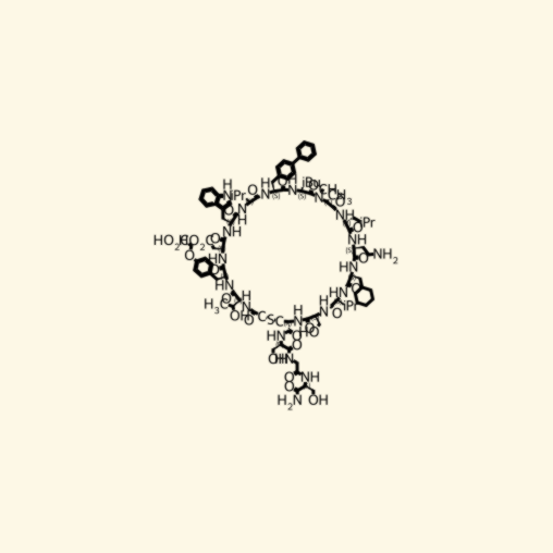 CCC(C)[C@@H]1NC(=O)[C@H](Cc2ccc(-c3ccccc3)cc2)NC(=O)[C@H](C(C)C)NC(=O)[C@H](Cc2c[nH]c3ccccc23)NC(=O)[C@H](CC(=O)O)NC(=O)[C@H](Cc2ccc(OCC(=O)O)cc2)NC(=O)[C@H](C(C)O)NC(=O)CSC[C@@H](C(=O)N[C@H](CO)C(=O)NCC(=O)N[C@@H](CO)C(N)=O)NC(=O)[C@H](CO)NC(=O)[C@H](C(C)C)NC(=O)[C@H](CC2CCCCC2)NC(=O)[C@H](CCN)NC(=O)[C@@H](CC(C)C)NC(=O)[C@H](C)N(C)C1=O